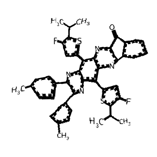 Cc1ccc(-c2nc3c(-c4cc(F)c(C(C)C)s4)c4nc5c(nc4c(-c4cc(F)c(C(C)C)s4)c3nc2-c2ccc(C)cc2)-c2ccccc2C5=O)cc1